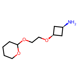 N[C@H]1C[C@@H](OCCOC2CCCCO2)C1